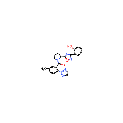 Cc1ccc(-n2nccn2)c(C(=O)N2CCCC2c2nc(-c3ccccc3O)no2)c1